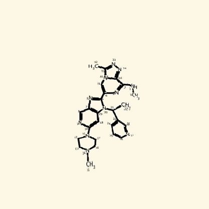 CNc1nc(-c2nc3cnc(N4CCN(C)CC4)cc3n2[C@@H](C)c2cccnc2)cn2c(C)nnc12